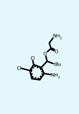 CC(C)(C)C(OC(=O)CN)c1c(N)ccc(Cl)c1Cl